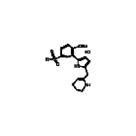 CCS(=O)(=O)c1ccc(OC)c(-c2ccc(CC3=CCCCN3)[nH]2)c1.Cl